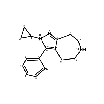 c1ccc(-c2c3c(nn2C2CC2)CCNCC3)cc1